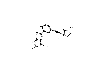 [2H]c1nc(N)c2nc(-c3cc(C#CC4(O)CCN(C)C4=O)ccc3C)ccc2n1